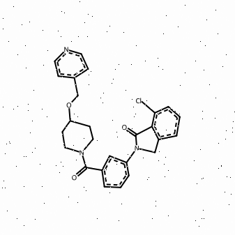 O=C(c1cccc(N2Cc3cccc(Cl)c3C2=O)c1)N1CCC(OCc2ccncc2)CC1